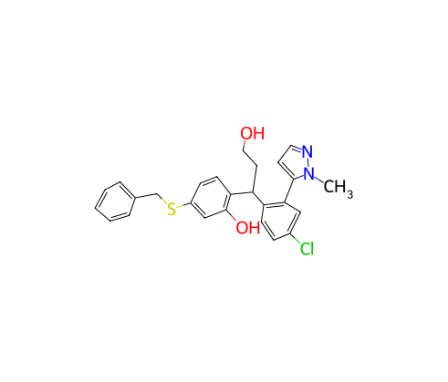 Cn1nccc1-c1cc(Cl)ccc1C(CCO)c1ccc(SCc2ccccc2)cc1O